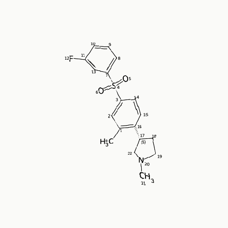 Cc1cc(S(=O)(=O)c2cccc(F)c2)ccc1[C@@H]1CCN(C)C1